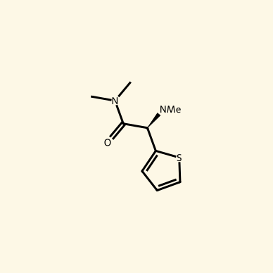 CN[C@H](C(=O)N(C)C)c1cccs1